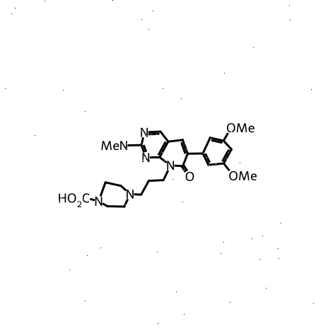 CNc1ncc2cc(-c3cc(OC)cc(OC)c3)c(=O)n(CCCN3CCN(C(=O)O)CC3)c2n1